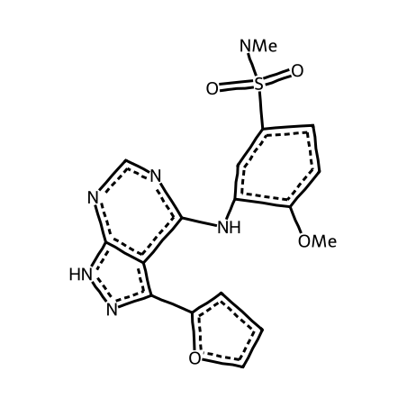 CNS(=O)(=O)c1ccc(OC)c(Nc2ncnc3[nH]nc(-c4ccco4)c23)c1